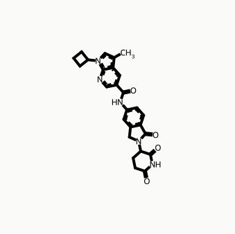 Cc1cn(C2CCC2)c2ncc(C(=O)Nc3ccc4c(c3)CN(C3CCC(=O)NC3=O)C4=O)cc12